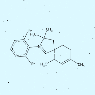 CC1=CC(C)C2(C=[N+](c3c(C(C)C)cccc3C(C)C)C(C)(C)C2)CC1